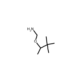 CC(OCN)C(C)(C)C